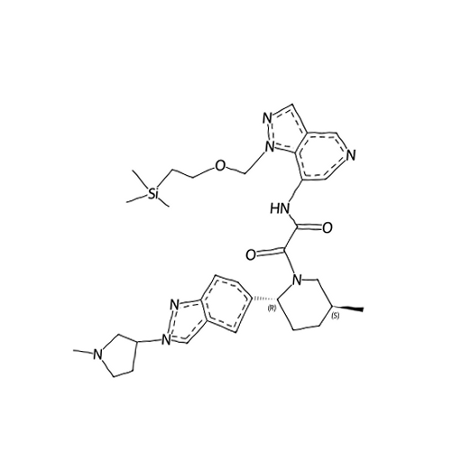 C[C@H]1CC[C@H](c2ccc3nn(C4CCN(C)C4)cc3c2)N(C(=O)C(=O)Nc2cncc3cnn(COCC[Si](C)(C)C)c23)C1